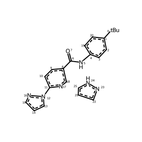 CC(C)(C)c1ccc(NC(=O)c2ccc(-n3cccn3)nc2)cc1.c1cn[nH]c1